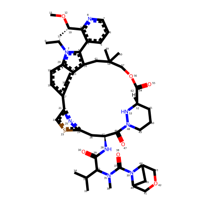 CCn1c(-c2cccnc2[C@H](C)OC)c2c3cc(ccc31)-c1csc(n1)C[C@H](NC(=O)C(C(C)C)N(C)C(=O)N1C3COCC1C3)C(=O)N1CCC[C@H](N1)C(=O)OCC(C)(C)C2